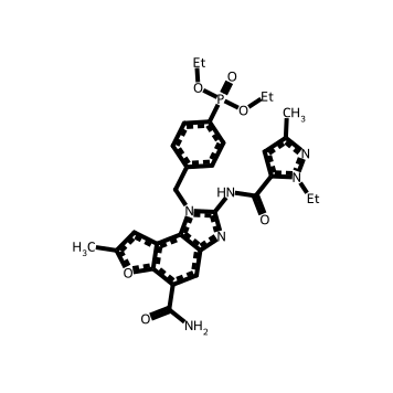 CCOP(=O)(OCC)c1ccc(Cn2c(NC(=O)c3cc(C)nn3CC)nc3cc(C(N)=O)c4oc(C)cc4c32)cc1